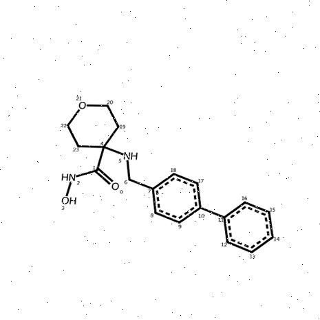 O=C(NO)C1(NCc2ccc(-c3ccccc3)cc2)CCOCC1